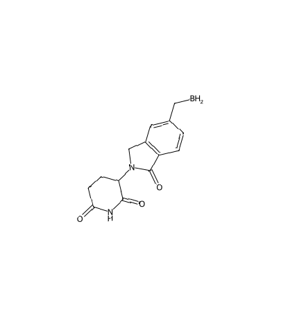 BCc1ccc2c(c1)CN(C1CCC(=O)NC1=O)C2=O